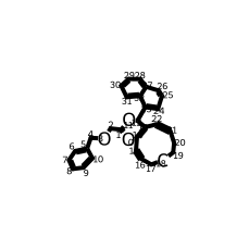 O=C(COCc1ccccc1)OC(/C1=C/C#CCCCCC#C1)c1cccc2ccccc12